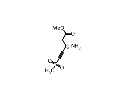 COC(=O)C[C@H](N)C#CS(C)(=O)=O